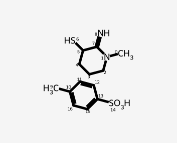 CN1CCCC(S)C1=N.Cc1ccc(S(=O)(=O)O)cc1